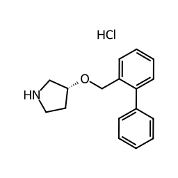 Cl.c1ccc(-c2ccccc2CO[C@@H]2CCNC2)cc1